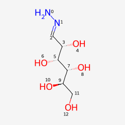 N/N=C/[C@H](O)[C@@H](O)[C@H](O)[C@H](O)CO